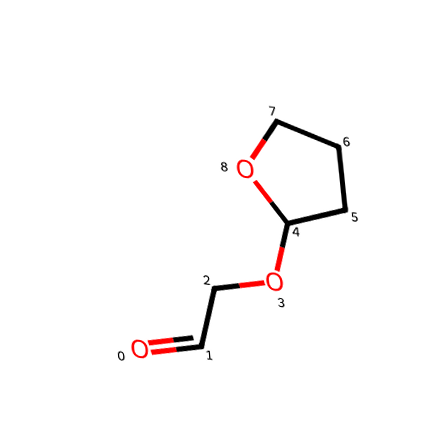 O=CCOC1CCCO1